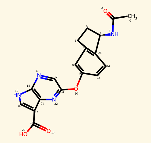 CC(=O)N[C@@H]1CCc2cc(Oc3cnc4[nH]cc(C(=O)O)c4n3)ccc21